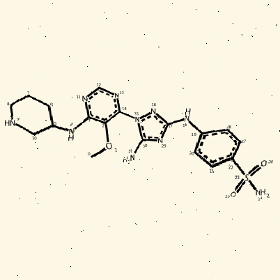 COc1c(NC2CCCNC2)ncnc1-n1nc(Nc2ccc(S(N)(=O)=O)cc2)nc1N